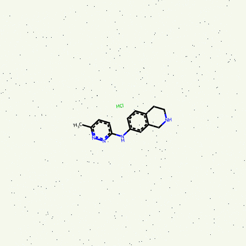 Cc1ccc(Nc2ccc3c(c2)CNCC3)nn1.Cl